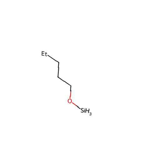 CCCCCO[SiH3]